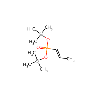 CC=CP(=O)(O[Si](C)(C)C)O[Si](C)(C)C